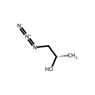 C[C@H](O)CN=[N+]=[N-]